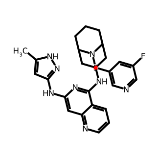 Cc1cc(Nc2cc3ncccc3c(NC3CC4CCCC(C3)N4Sc3cncc(F)c3)n2)n[nH]1